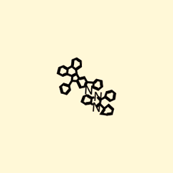 c1ccc(-c2nc3cccc(-n4c5ccccc5c5cc6c(cc54)C(c4ccccc4)c4c-6c5ccccc5c5ccccc45)c3nc2-c2ccccc2)cc1